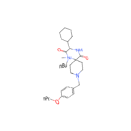 CCCC[N+]1(C)C(=O)C(C2CCCCC2)NC(=O)C12CCN(Cc1ccc(OCCC)cc1)CC2